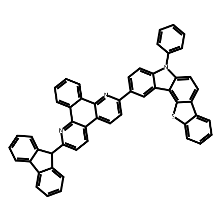 c1ccc(-n2c3ccc(-c4ccc5c6ccc(C7c8ccccc8-c8ccccc87)nc6c6ccccc6c5n4)cc3c3c4sc5ccccc5c4ccc32)cc1